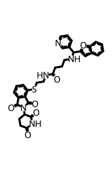 O=C(CCCNC(c1cccnc1)c1cc2ccccc2o1)NCCSc1cccc2c1C(=O)N(C1CCC(=O)NC1=O)C2=O